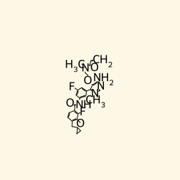 C=CC(=O)N(C)CCOc1c(N)ncnc1-c1cc(F)cc(NC(=O)c2ccc3c(c2F)OC2(CC2)C3)c1C